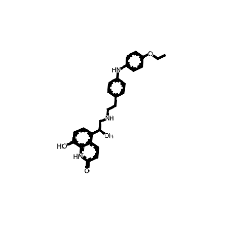 CCOc1ccc(Nc2ccc(CCNCC(O)c3ccc(O)c4[nH]c(=O)ccc34)cc2)cc1